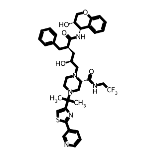 CC(C)(c1csc(-c2cccnc2)n1)N1CCN(C[C@@H](O)C[C@@H](Cc2ccccc2)C(=O)N[C@H]2c3ccccc3OC[C@H]2O)[C@H](C(=O)NCC(F)(F)F)C1